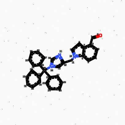 O=Cc1cccc2c1ccn2Cc1cn(C(c2ccccc2)(c2ccccc2)c2ccccc2)cn1